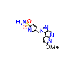 COc1ccc2c(ncc3ncn(Cc4ccc(S(N)(=O)=O)nc4)c32)n1